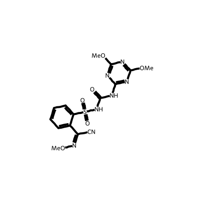 CO/N=C(/C#N)c1ccccc1S(=O)(=O)NC(=O)Nc1nc(OC)nc(OC)n1